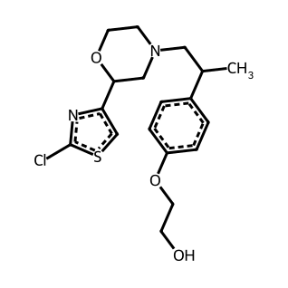 CC(CN1CCOC(c2csc(Cl)n2)C1)c1ccc(OCCO)cc1